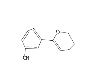 N#Cc1cccc(C2=CCCCO2)c1